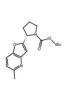 Cc1ccc2oc([C@@H]3CCCN3C(=O)OC(C)(C)C)cc2n1